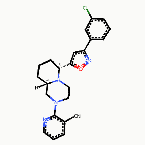 N#Cc1cccnc1N1CCN2[C@@H](CCC[C@@H]2c2cc(-c3cccc(Cl)c3)no2)C1